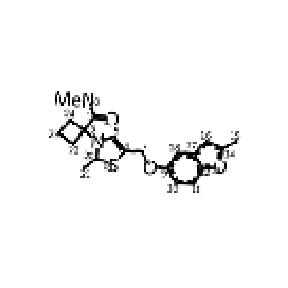 CNC(=O)C1(N2C=C(COc3ccc4oc(C)cc4c3)SC2C)CCC1